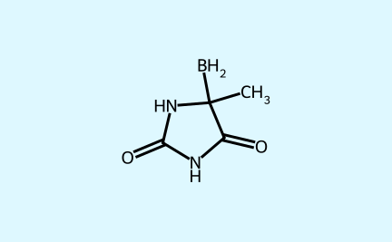 BC1(C)NC(=O)NC1=O